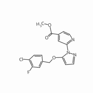 COC(=O)c1ccnc(-n2nccc2OCc2ccc(Cl)c(F)c2)c1